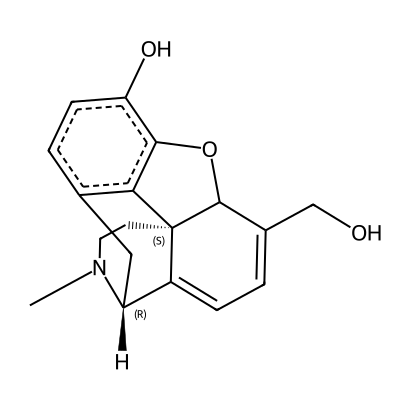 CN1CC[C@@]23C4=CC=C(CO)C2Oc2c(O)ccc(c23)C[C@H]41